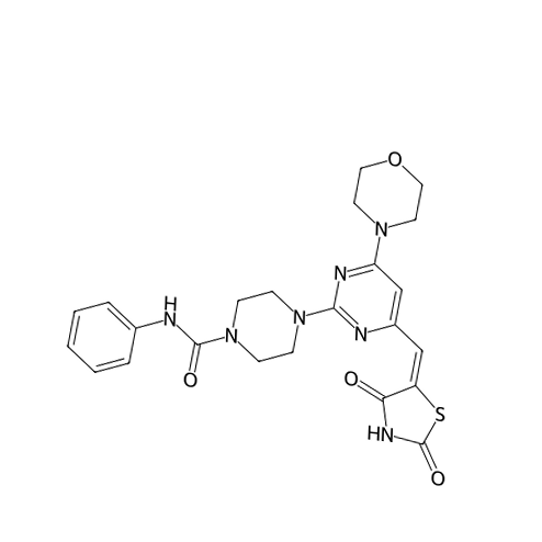 O=C1NC(=O)/C(=C\c2cc(N3CCOCC3)nc(N3CCN(C(=O)Nc4ccccc4)CC3)n2)S1